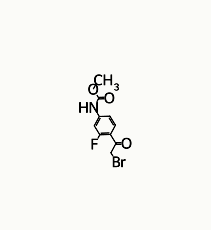 COC(=O)Nc1ccc(C(=O)CBr)c(F)c1